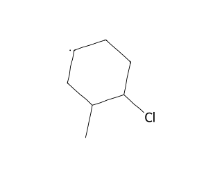 CC1C[CH]CCC1Cl